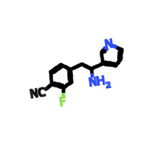 N#Cc1ccc(CC(N)c2cccnc2)cc1F